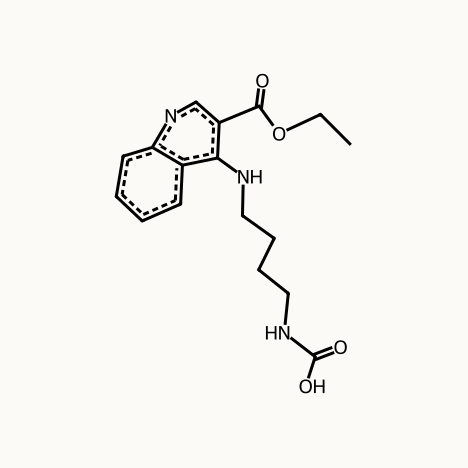 CCOC(=O)c1cnc2ccccc2c1NCCCCNC(=O)O